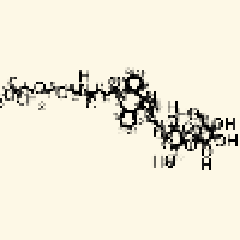 CC(C)(C)CCOCCOCCNC(=O)CCC(=O)N1Cc2ccccc2-c2c(nnn2CCO[C@@H]2O[C@@H](CO)[C@@H](O[C@@H]3OC(CO)[C@H](O)C(O)C3O)C(O)C2O)-c2ccccc21